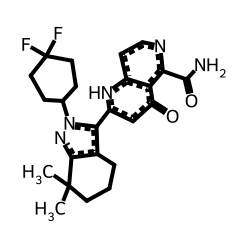 CC1(C)CCCc2c1nn(C1CCC(F)(F)CC1)c2-c1cc(=O)c2c(C(N)=O)nccc2[nH]1